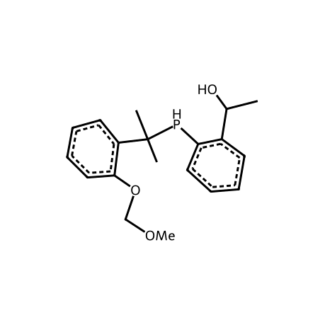 COCOc1ccccc1C(C)(C)Pc1ccccc1C(C)O